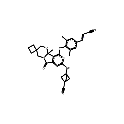 Cc1cc(/C=C/C#N)cc(C)c1Oc1nc(NC23CC(C#N)(C2)C3)nc2c1C1(C)OCC3(CCC3)CN1C2=O